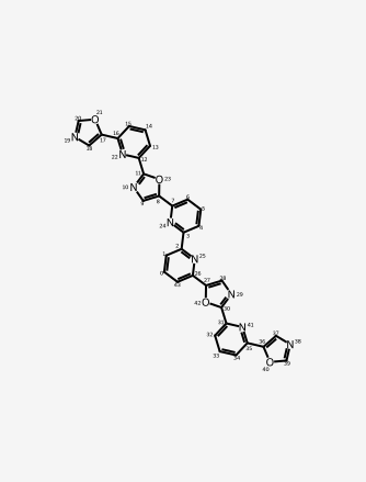 c1cc(-c2cccc(-c3cnc(-c4cccc(-c5cnco5)n4)o3)n2)nc(-c2cnc(-c3cccc(-c4cnco4)n3)o2)c1